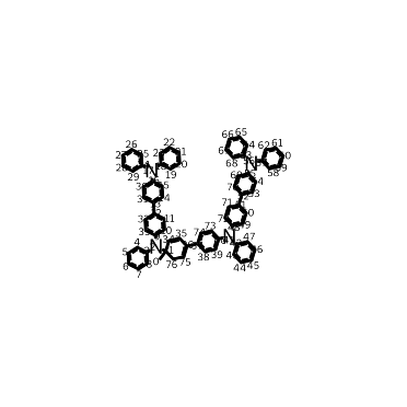 CC1(N(c2ccccc2)c2ccc(-c3ccc(N(c4ccccc4)c4ccccc4)cc3)cc2)C=CC(c2ccc(N(c3ccccc3)c3ccc(-c4ccc(N(c5ccccc5)c5ccccc5)cc4)cc3)cc2)=CC1